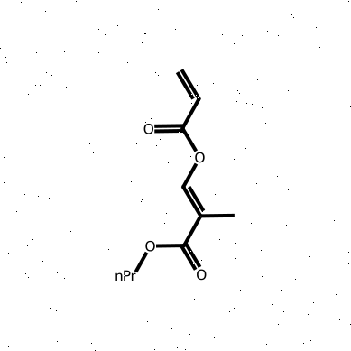 C=CC(=O)OC=C(C)C(=O)OCCC